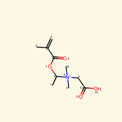 C=C(C)C(=O)OC(C)[N+](C)(C)CC(=O)O